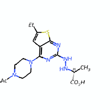 CCc1cc2c(N3CCN(C(C)=O)CC3)nc(NN[C@H](C)C(=O)O)nc2s1